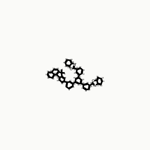 CC1(C)c2cc(-c3cccc(-c4cc(-c5cccc(-c6nc7ccccc7o6)c5)cc(-c5cccc(-c6nc7ccccc7o6)c5)c4)c3)ccc2-c2c1ccc1ccccc21